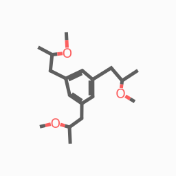 COC(C)Cc1cc(CC(C)OC)cc(CC(C)OC)c1